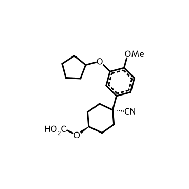 COc1ccc([C@]2(C#N)CC[C@H](OC(=O)O)CC2)cc1OC1CCCC1